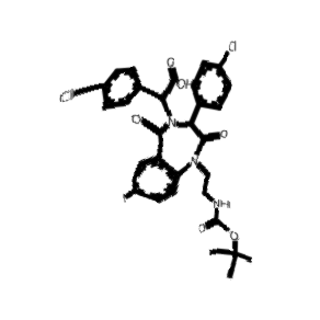 CC(C)(C)OC(=O)NCCN1C(=O)C(c2ccc(Cl)cc2)N(C(C(=O)O)c2ccc(Cl)cc2)C(=O)c2cc(I)ccc21